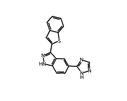 c1ccc2sc(-c3n[nH]c4ccc(-c5ncn[nH]5)cc34)cc2c1